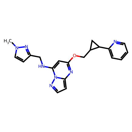 Cn1ccc(CNc2cc(OCC3CC3c3ccccn3)nc3ccnn23)n1